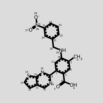 Cc1cc(C(=O)O)c(-c2ncc3ccsc3n2)cc1NCc1cccc([N+](=O)[O-])c1